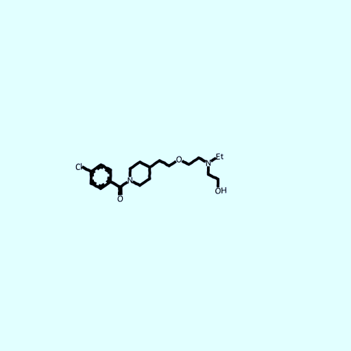 CCN(CCO)CCOCCC1CCN(C(=O)c2ccc(Cl)cc2)CC1